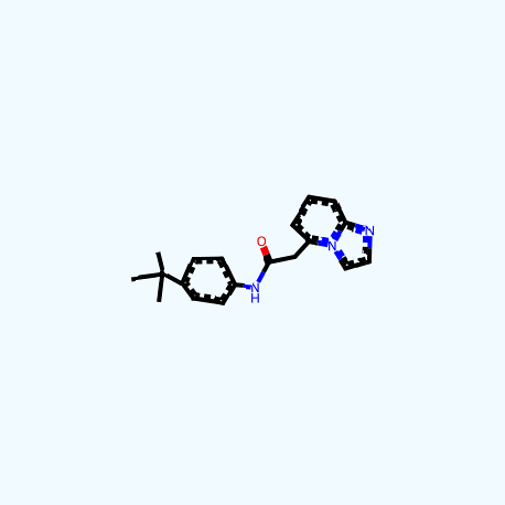 CC(C)(C)c1ccc(NC(=O)Cc2cccc3nccn23)cc1